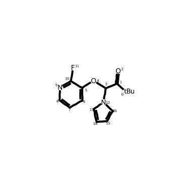 CC(C)(C)C(=O)C(Oc1cccnc1F)n1cccc1